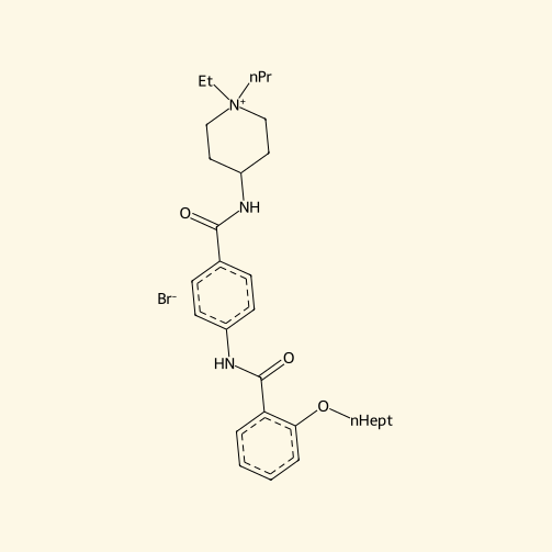 CCCCCCCOc1ccccc1C(=O)Nc1ccc(C(=O)NC2CC[N+](CC)(CCC)CC2)cc1.[Br-]